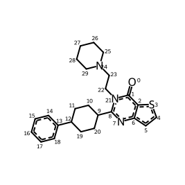 O=c1c2sccc2nc(C2CCC(c3ccccc3)CC2)n1CCN1CCCCC1